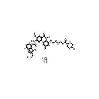 COc1cc(C(=O)N(C)c2ccc(C)cc2OCCCCCC(=O)N2CCN(C)CC2)ccc1NC(=O)c1cccc2nc(CN)n(C)c12.Cl.Cl.Cl